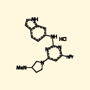 CCCc1cc(N2CCC(NC)C2)nc(Nc2ccc3cc[nH]c3c2)n1.Cl